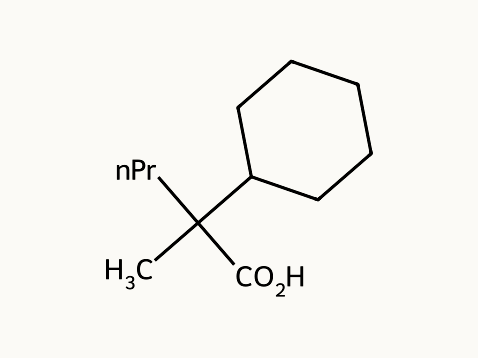 CCCC(C)(C(=O)O)C1CCCCC1